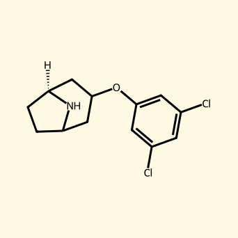 Clc1cc(Cl)cc(OC2CC3CC[C@@H](C2)N3)c1